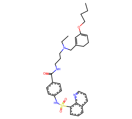 CCCCOC1=CCCC(CN(CC)CCCNC(=O)c2ccc(NS(=O)(=O)c3cccc4cccnc34)cc2)=C1